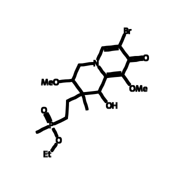 CCOP(C)(=O)CCC1(C)C(OC)Cn2cc(Br)c(=O)c(OC)c2C1O